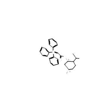 CC(C)C1CC[C@@H](C)C[C@H]1OC(=O)C=P(c1ccccc1)(c1ccccc1)c1ccccc1